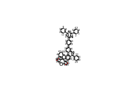 c1ccc(-c2nc(-c3ccccc3)nc(-c3ccc(-c4ccc5c(c4)nc(-c4ccccc4)c4ccc6c(c45)-c4ccccc4C64c5ccccc5Oc5ccccc54)cc3)n2)cc1